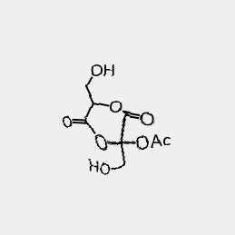 CC(=O)OC1(CO)OC(=O)C(CO)OC1=O